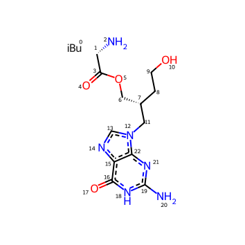 CC[C@H](C)[C@H](N)C(=O)OC[C@H](CCO)Cn1cnc2c(=O)[nH]c(N)nc21